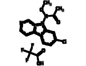 CON(C(C)=O)n1c2cnccc2c2ccc(Cl)cc21.O=C(O)C(F)(F)F